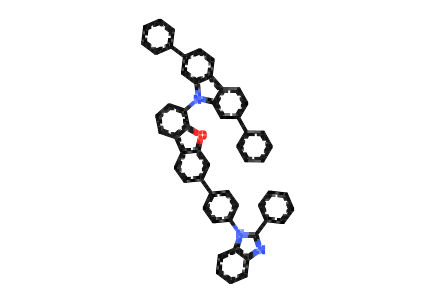 c1ccc(-c2ccc3c4ccc(-c5ccccc5)cc4n(-c4cccc5c4oc4cc(-c6ccc(-n7c(-c8ccccc8)nc8ccccc87)cc6)ccc45)c3c2)cc1